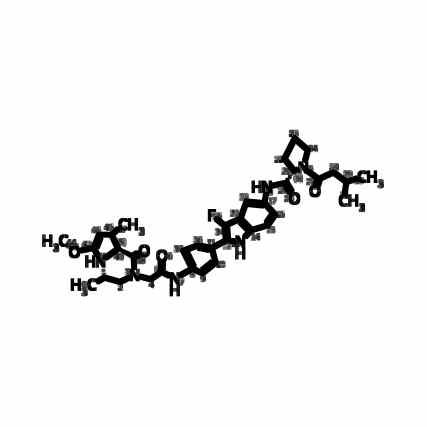 CCCN(CC(=O)Nc1ccc(-c2[nH]c3ccc(NC(=O)[C@@H]4CCCN4C(=O)CC(C)C)cc3c2F)cc1)C(=O)[C@H]1NC(OC)=CC1C